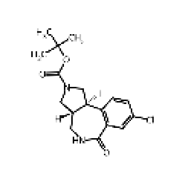 CC(C)(C)OC(=O)N1C[C@H]2CNC(=O)c3cc(Cl)ccc3[C@@H]2C1